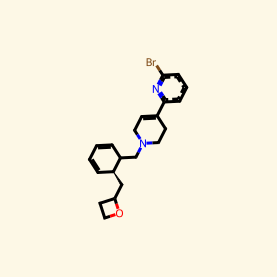 Brc1cccc(C2=CCN(CC3C=CC=C[C@@H]3CC3CCO3)CC2)n1